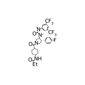 CCC(=O)NC1CCC(C(=O)N2C[C@@H](N(C)C(=O)N(C)c3cc(C(F)(F)F)cc(C(F)(F)F)c3)[C@H](c3ccc(F)cc3)C2)CC1